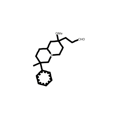 COC1(CCC=O)CCN2CC(C)(c3ccccc3)CCC2C1